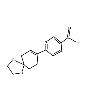 O=[N+]([O-])c1ccc(C2=CCC3(CC2)OCCO3)nc1